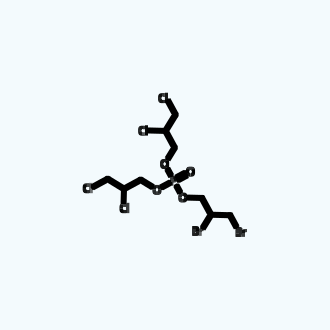 O=P(OCC(Cl)CCl)(OCC(Cl)CCl)OCC(Br)CBr